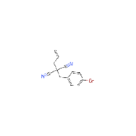 C=CCC(C#N)(C#N)Cc1ccc(Br)cc1